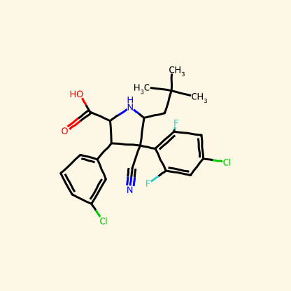 CC(C)(C)CC1NC(C(=O)O)C(c2cccc(Cl)c2)C1(C#N)c1c(F)cc(Cl)cc1F